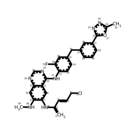 C=C(/C=C/CCl)Nc1cc2c(Nc3ccc(Cc4cccc(-c5nnc(C)o5)c4)cc3F)ncnc2cc1NC